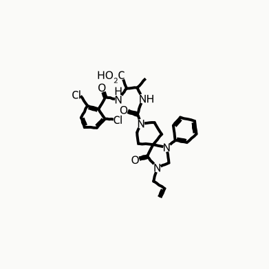 C=CCN1CN(c2ccccc2)C2(CCN(C(=O)NC(C)C(NC(=O)c3c(Cl)cccc3Cl)C(=O)O)CC2)C1=O